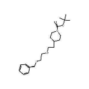 CC(C)(C)OC(=O)N1CCC(CCOCCOCc2ccccc2)CC1